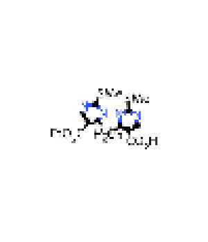 CCOC(=O)c1cnc(SC)nc1C.CSc1ncc(C(=O)O)c(C)n1